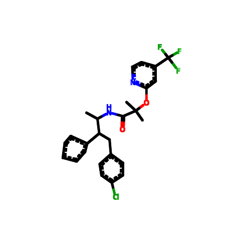 CC(NC(=O)C(C)(C)Oc1cc(C(F)(F)F)ccn1)C(Cc1ccc(Cl)cc1)c1ccccc1